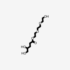 O=C(CCC(O)CO)OCCOCCOCCO